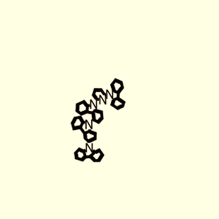 c1cc(-n2c3ccccc3c3ccccc32)nc(-n2c3ccccc3c3c(-n4c5ccccc5c5cc(-n6c7ccccc7c7ccccc76)ccc54)cccc32)c1